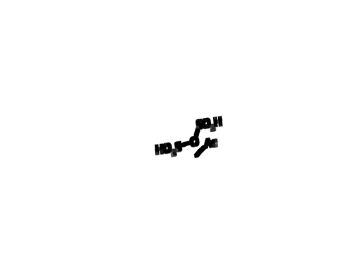 CC(C)=O.O=S(=O)(O)OS(=O)(=O)O